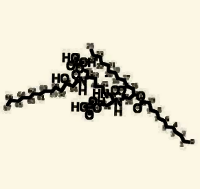 CCCCCCCCCCCC(=O)OC(CCCCCCCCCCC)CC(=O)NC(CCOP(=O)(O)O)C(=O)NCCCC(COP(=O)(O)O)NC(=O)CC(O)CCCCCCCCCCC